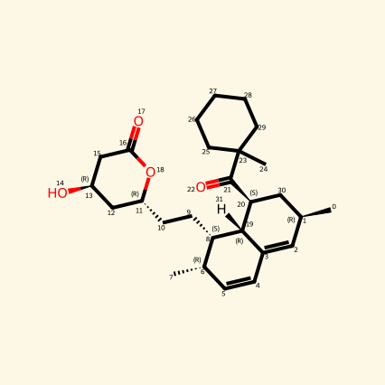 C[C@H]1C=C2C=C[C@H](C)[C@H](CC[C@@H]3C[C@@H](O)CC(=O)O3)[C@@H]2[C@@H](C(=O)C2(C)CCCCC2)C1